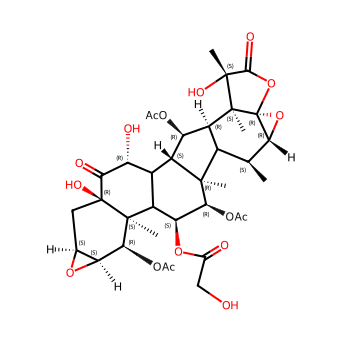 CC(=O)O[C@@H]1[C@H]2C3C([C@H](OC(=O)CO)[C@H](OC(C)=O)[C@]2(C)C2[C@H](C)[C@H]4O[C@]45OC(=O)[C@@](C)(O)[C@]5(C)[C@@H]21)[C@@]1(C)[C@@H](OC(C)=O)[C@H]2O[C@H]2C[C@]1(O)C(=O)[C@@H]3O